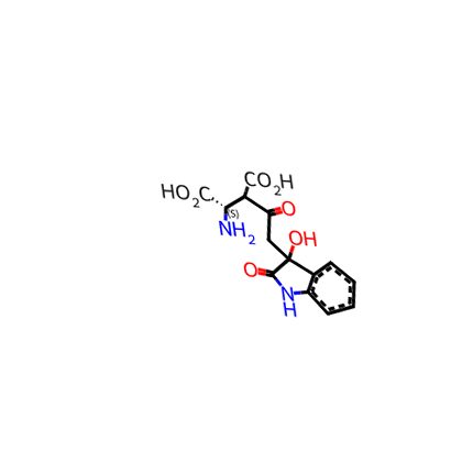 N[C@H](C(=O)O)C(C(=O)O)C(=O)CC1(O)C(=O)Nc2ccccc21